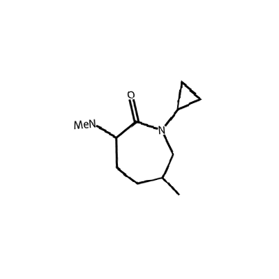 CNC1CCC(C)CN(C2CC2)C1=O